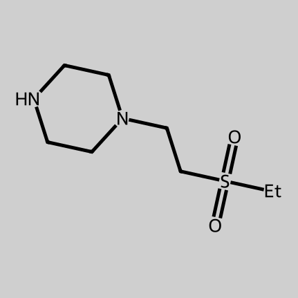 CCS(=O)(=O)CCN1CCNCC1